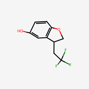 Oc1ccc2c(c1)C(CC(F)(F)F)CO2